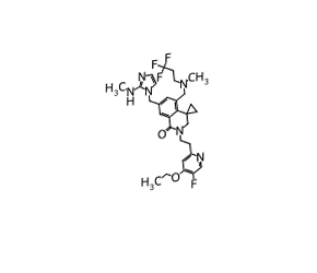 CCOc1cc(CCN2CC3(CC3)c3c(CN(C)CCC(F)(F)F)cc(Cn4ccnc4NC)cc3C2=O)ncc1F